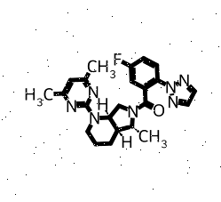 Cc1cc(C)nc(N2CCC[C@@H]3[C@@H](C)N(C(=O)c4cc(F)ccc4-n4nccn4)C[C@@H]32)n1